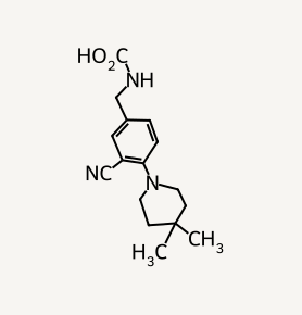 CC1(C)CCN(c2ccc(CNC(=O)O)cc2C#N)CC1